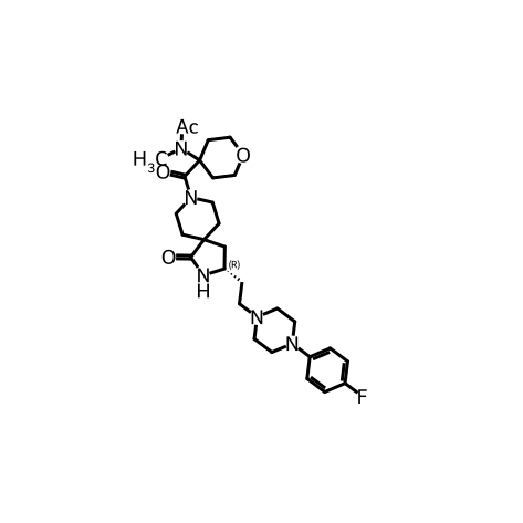 CC(=O)N(C)C1(C(=O)N2CCC3(CC2)C[C@H](CCN2CCN(c4ccc(F)cc4)CC2)NC3=O)CCOCC1